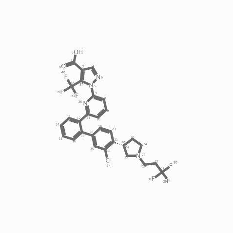 O=C(O)c1cnn(-c2cccc(-c3ccccc3-c3ccc([C@@H]4CCN(CCC(F)(F)F)C4)c(Cl)c3)n2)c1C(F)(F)F